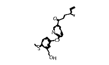 CCC(I)CCC(=O)c1ccc(Oc2ccc(SC)c(CO)c2)nc1